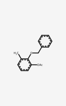 CC(=O)Oc1cccc(C)c1OCc1ccccc1